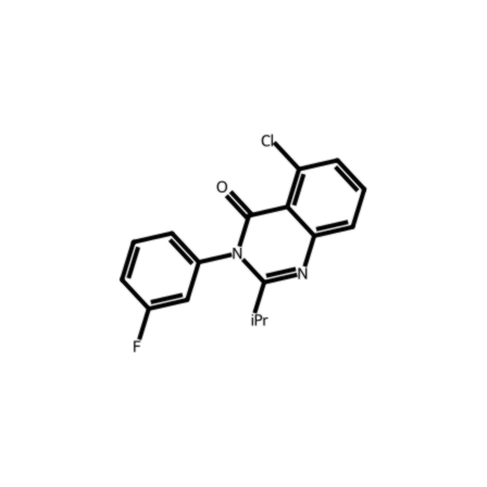 CC(C)c1nc2cccc(Cl)c2c(=O)n1-c1cccc(F)c1